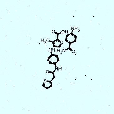 Cc1ccoc1C(=O)O.NC(=O)c1ccc(N)cc1.Nc1ccc(NC(=O)Cc2cccs2)cc1